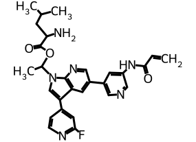 C=CC(=O)Nc1cncc(-c2cnc3c(c2)c(-c2ccnc(F)c2)cn3C(C)OC(=O)C(N)CC(C)C)c1